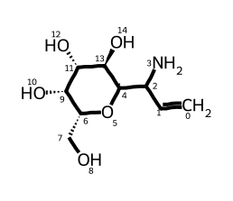 C=CC(N)[C]1O[C@H](CO)[C@H](O)[C@H](O)[C@H]1O